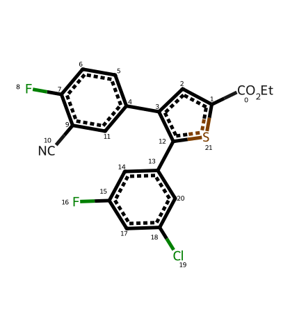 CCOC(=O)c1cc(-c2ccc(F)c(C#N)c2)c(-c2cc(F)cc(Cl)c2)s1